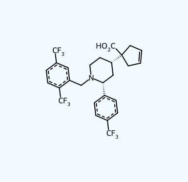 O=C(O)C1([C@H]2CCN(Cc3cc(C(F)(F)F)ccc3C(F)(F)F)[C@@H](c3ccc(C(F)(F)F)cc3)C2)CC=CC1